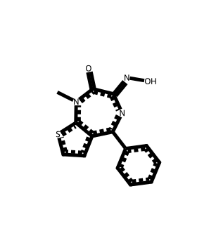 Cn1c(=O)c(=NO)nc(-c2ccccc2)c2ccsc21